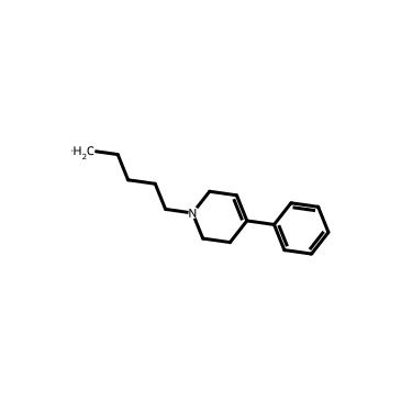 [CH2]CCCCN1CC=C(c2ccccc2)CC1